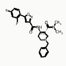 CN(C)C(=O)[C@@H]1CN(Cc2ccccc2)CC[C@H]1NC(=O)c1cc(-c2ccc(F)cc2F)on1